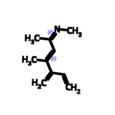 C=CC(=C)/C(C)=C/C(C)=N\C